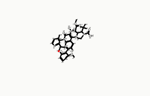 COC(=O)CC1C(C(C)(C)C)N(C(=O)O)CCN1c1c([N+](=O)[O-])c(=O)n(-c2c(C)ccnc2C(C)C)c2nc(-c3c(F)cccc3OC)c(F)cc12